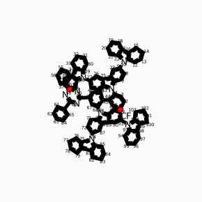 FC(F)(F)c1ccc(-n2c3ccc(-n4c5ccccc5c5ccccc54)cc3c3cc(-n4c5ccccc5c5ccccc54)ccc32)c(-c2ccc(-c3nc(-c4ccccc4)nc(-c4ccccc4)n3)cc2-n2c3ccc(-n4c5ccccc5c5ccccc54)cc3c3cc(-n4c5ccccc5c5ccccc54)ccc32)c1